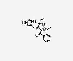 CC[C@@H]1OC(CC)(CC)[C@H](Cc2c[nH]cn2)N1C(=O)c1ccccc1